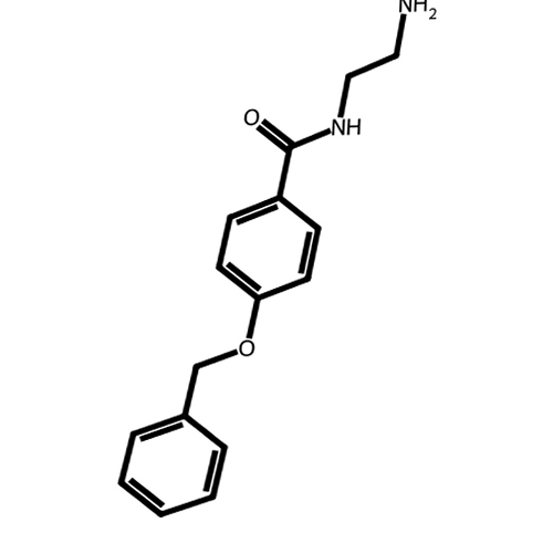 NCCNC(=O)c1ccc(OCc2ccccc2)cc1